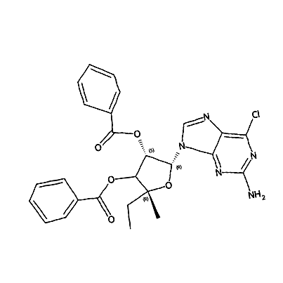 CC[C@@]1(C)O[C@@H](n2cnc3c(Cl)nc(N)nc32)[C@@H](OC(=O)c2ccccc2)C1OC(=O)c1ccccc1